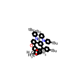 CC(C)(C)c1ccc(C(c2ccc(C(C)(C)C)cc2)c2cc3c4c(c2)N(c2ccc(C(C)(C)C)cc2)c2ccc(C(C)(C)C)cc2B4N(c2ccc(C(C)(C)C)cc2)c2ccc4oc5cc6c(cc5c4c2-3)C(C)(C)CCC6(C)C)cc1